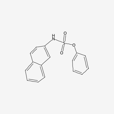 O=S(=O)(Nc1ccc2ccccc2c1)Oc1ccccc1